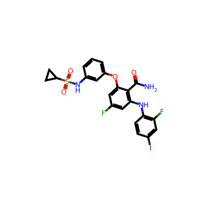 NC(=O)c1c(Nc2ccc(I)cc2F)cc(F)cc1Oc1cccc(NS(=O)(=O)C2CC2)c1